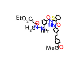 CCCN(CCN(C)C(=O)CCC(=O)OCC)Cc1cccc(C(=O)Nc2sc3c(c2C(=O)Nc2ccc(CCc4ccc(C(=O)OC)cc4)cc2)CCCC3)c1